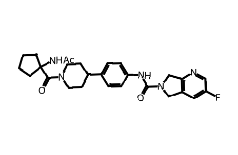 CC(=O)NC1(C(=O)N2CCC(c3ccc(NC(=O)N4Cc5cc(F)cnc5C4)cc3)CC2)CCCC1